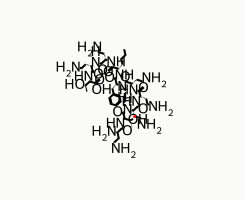 CCCC[C@H](NC(=O)[C@@H](Cc1ccccc1)NC(=O)[C@H](CCN)NC(=O)[C@H](CCN)NC(=O)[C@H](CCN)NC(=O)[C@@H](NC(=O)[C@@H](N)CCN)[C@@H](C)O)C(=O)N[C@@H](CCN)C(=O)N[C@@H](CCN)C(=O)N[C@H](C(=O)O)[C@@H](C)O